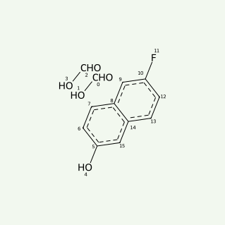 O=CO.O=CO.Oc1ccc2cc(F)ccc2c1